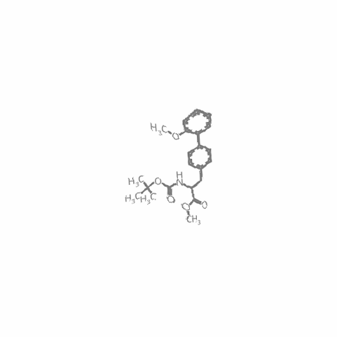 COC(=O)C(Cc1ccc(-c2ccccc2OC)cc1)NC(=O)OC(C)(C)C